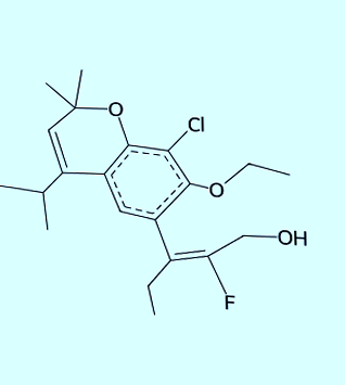 CCOc1c(/C(CC)=C(/F)CO)cc2c(c1Cl)OC(C)(C)C=C2C(C)C